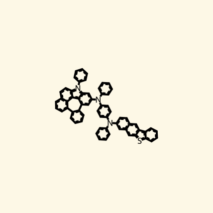 c1ccc(N(c2ccc(N(c3ccccc3)c3cc4c5c6c7c(cccc7ccc6n(-c6ccccc6)c5c3)-c3ccccc3-4)cc2)c2ccc3cc4c(cc3c2)sc2ccccc24)cc1